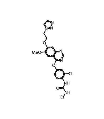 CCNC(=O)Nc1ccc(Oc2ncnc3cc(OCCn4ccnn4)c(OC)cc23)cc1Cl